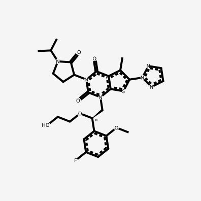 COc1ccc(F)cc1[C@H](Cn1c(=O)n(C2CCN(C(C)C)C2=O)c(=O)c2c(C)c(-n3nccn3)sc21)OCCO